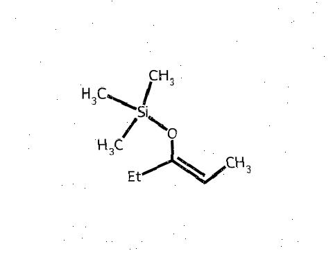 C/C=C(/CC)O[Si](C)(C)C